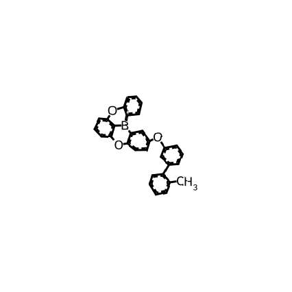 Cc1ccccc1-c1cccc(Oc2ccc3c(c2)B2c4ccccc4Oc4cccc(c42)O3)c1